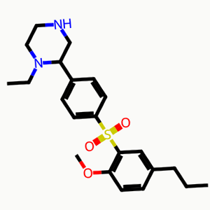 CCCc1ccc(OC)c(S(=O)(=O)c2ccc(C3CNCCN3CC)cc2)c1